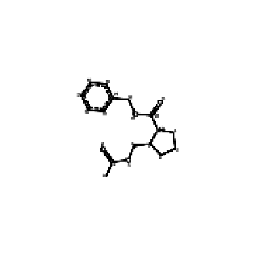 CC(=O)OC[C@@H]1CCCN1C(=O)OCc1ccccc1